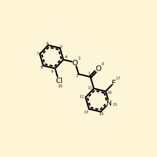 O=C(COc1ccccc1Cl)c1cccnc1F